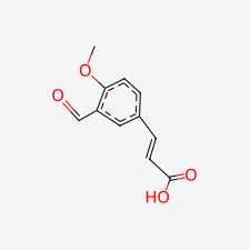 COc1ccc(C=CC(=O)O)cc1C=O